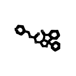 O=C(OCc1ccncc1)OC1CSC2(c3ccccc3)c3ccccc3C(=O)N12